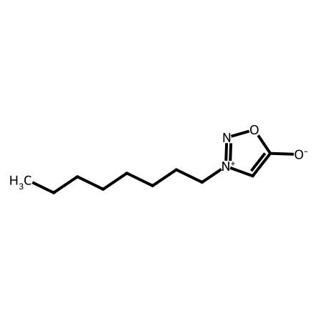 CCCCCCCC[n+]1cc([O-])on1